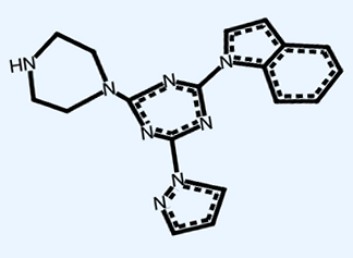 c1ccc2c(c1)ccn2-c1nc(N2CCNCC2)nc(-n2cccn2)n1